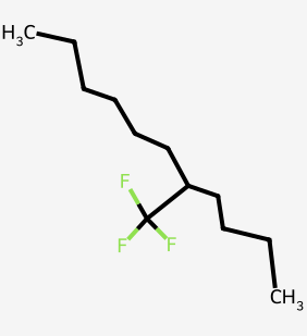 CCCCCCC(CCCC)C(F)(F)F